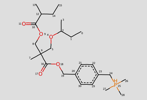 CCC(C)OCC(C)(COC(=O)C(C)CC)C(=O)OCc1ccc(C[PH](C)(C)C)cc1